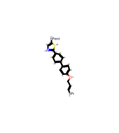 CCCC=CCOc1ccc(-c2ccc(-c3ncc(CCCCC)s3)cc2)cc1